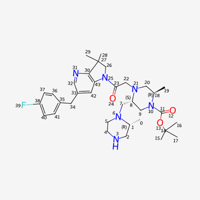 C[C@@H]1CNCCN1C[C@H]1CN(C(=O)OC(C)(C)C)[C@H](C)CN1CC(=O)N1CC(C)(C)c2ncc(Cc3ccc(F)cc3)cc21